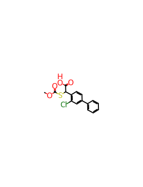 COC(=O)SC(C(=O)O)c1ccc(-c2ccccc2)cc1Cl